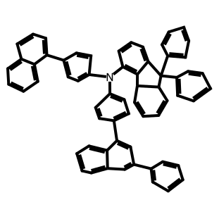 C1=CC2c3c(N(c4ccc(-c5cccc6ccccc56)cc4)c4ccc(-c5cc(-c6ccccc6)cc6ccccc56)cc4)cccc3C(c3ccccc3)(c3ccccc3)C2C=C1